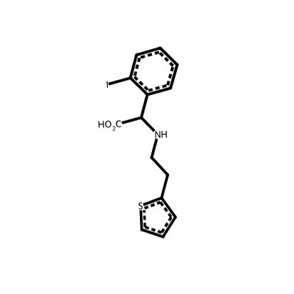 O=C(O)C(NCCc1cccs1)c1ccccc1I